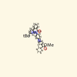 COC(=O)C(C1CCCCC1)C1CCN(c2ccc(NC(=O)c3ccccc3-c3ccc(C(C)(C)C)cc3)cc2)CC1